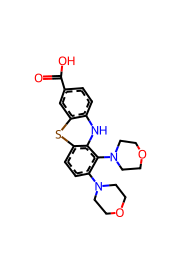 O=C(O)c1ccc2c(c1)Sc1ccc(N3CCOCC3)c(N3CCOCC3)c1N2